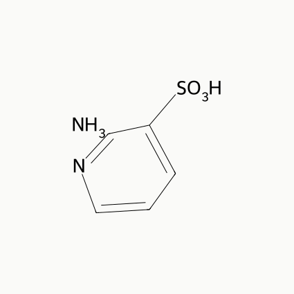 N.O=S(=O)(O)c1cccnc1